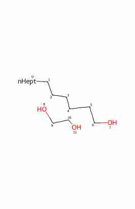 CCCCCCCCCCCCCO.OCCO